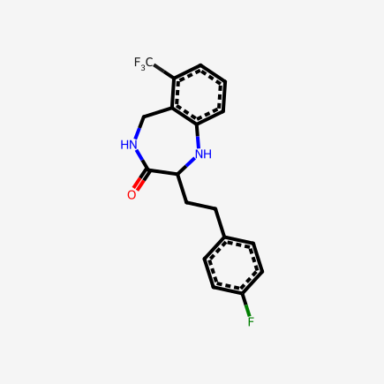 O=C1NCc2c(cccc2C(F)(F)F)NC1CCc1ccc(F)cc1